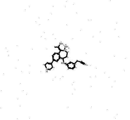 C/C(N)=C1\c2ccc(C3=CCNCC3)cc2C(Nc2cccc(CC#N)c2)CCN1N